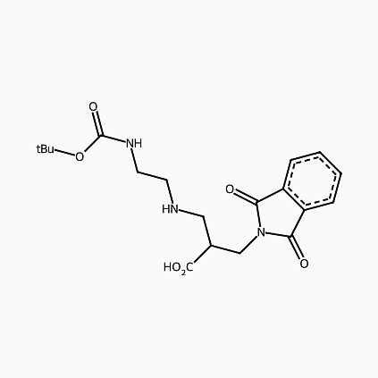 CC(C)(C)OC(=O)NCCNCC(CN1C(=O)c2ccccc2C1=O)C(=O)O